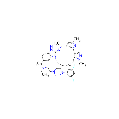 C=C1/N=C2\Nc3ccc(C(=C)N(CC)CCN4CCN(c5cc(F)cc(F)c5)CC4)cc3N2CCCCCCc2c(cnn2C)-c2cc1cc(C)n2